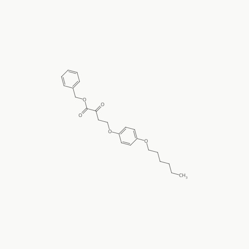 CCCCCCOc1ccc(OCCC(=O)C(=O)OCc2ccccc2)cc1